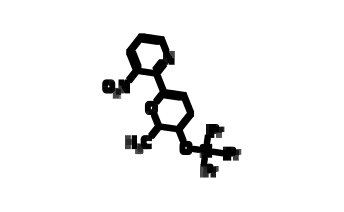 CC1OC(c2ncccc2[N+](=O)[O-])=CCC1O[Si](C(C)C)(C(C)C)C(C)C